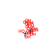 O=P(O)(O)OP(=O)(O)O.OCC(CO)(CO)CO.OCC(CO)(CO)CO